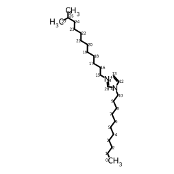 CCCCCCCCCCCn1cc[n+](CCCCCCCCCCC(C)C)c1